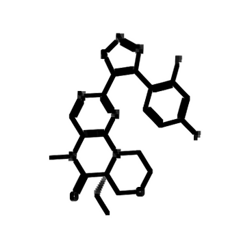 CC[C@@]12COCCN1c1nc(-c3snnc3-c3ccc(F)cc3F)ncc1N(C)C2=O